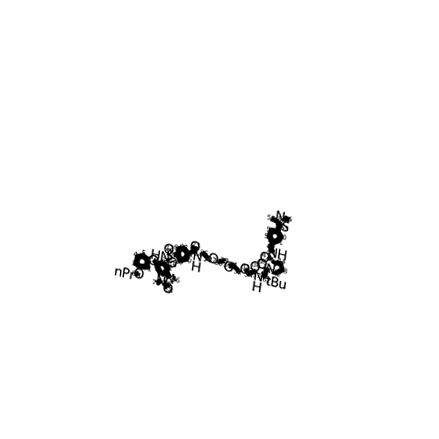 CCCOc1cccc(Oc2cc3c(cc2NS(=O)(=O)c2ccc(C(=O)NCCOCCOCCOCC(=O)NC(C(=O)N4CCC[C@H]4C(=O)NCc4ccc(-c5scnc5C)cc4)C(C)(C)C)cc2)n(C)c(=O)n3C)c1